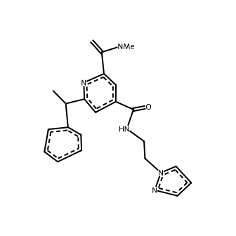 C=C(NC)c1cc(C(=O)NCCn2cccn2)cc(C(C)c2ccccc2)n1